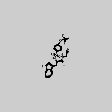 N#CCNC(=O)C(Cc1c[nH]c2ccccc12)NS(=O)(=O)c1ccc(OC(F)(F)F)cc1